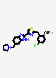 CC(C)COc1ccc(Cl)cc1Cc1nc(-c2nc3ccc(CN4CCCC4)cc3[nH]2)cs1